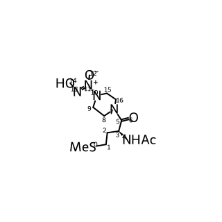 CSCC[C@H](NC(C)=O)C(=O)N1CCN(/[N+]([O-])=N/O)CC1